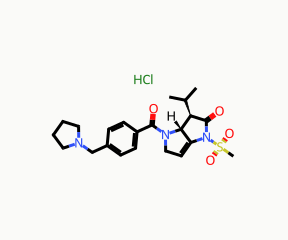 CC(C)[C@H]1C(=O)N(S(C)(=O)=O)C2=CCN(C(=O)c3ccc(CN4CCCC4)cc3)[C@@H]21.Cl